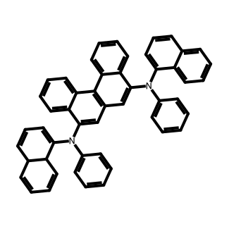 C1=CC2C=CC=C(N(c3ccccc3)c3cc4cc(N(c5ccccc5)c5cccc6ccccc56)c5ccccc5c4c4ccccc34)C2C=C1